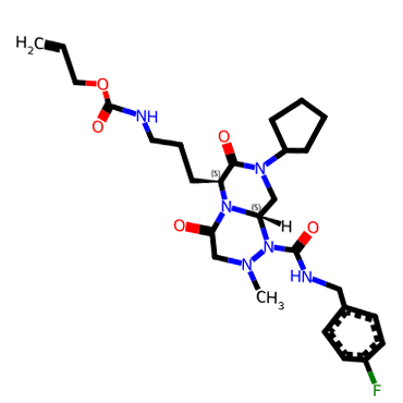 C=CCOC(=O)NCCC[C@H]1C(=O)N(C2CCCC2)C[C@H]2N1C(=O)CN(C)N2C(=O)NCc1ccc(F)cc1